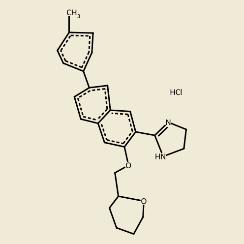 Cc1ccc(-c2ccc3cc(OCC4CCCCO4)c(C4=NCCN4)cc3c2)cc1.Cl